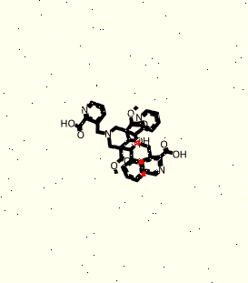 COC(=O)C12CN(Cc3cccnc3C(=O)O)CC(C(=O)OC)(C(c3ccccn3)N(Cc3cccnc3C(=O)O)C1c1ccccn1)C2O